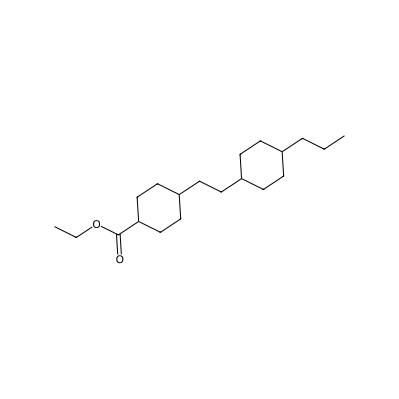 CCCC1CCC(CCC2CCC(C(=O)OCC)CC2)CC1